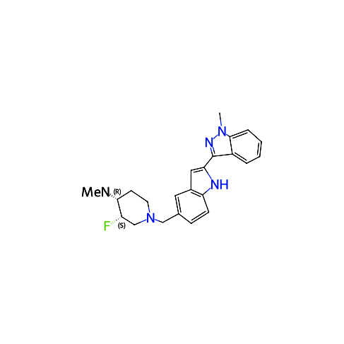 CN[C@@H]1CCN(Cc2ccc3[nH]c(-c4nn(C)c5ccccc45)cc3c2)C[C@@H]1F